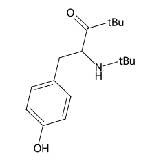 CC(C)(C)NC(Cc1ccc(O)cc1)C(=O)C(C)(C)C